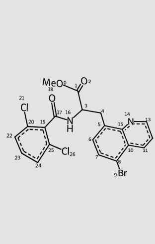 COC(=O)C(Cc1ccc(Br)c2cccnc12)NC(=O)c1c(Cl)cccc1Cl